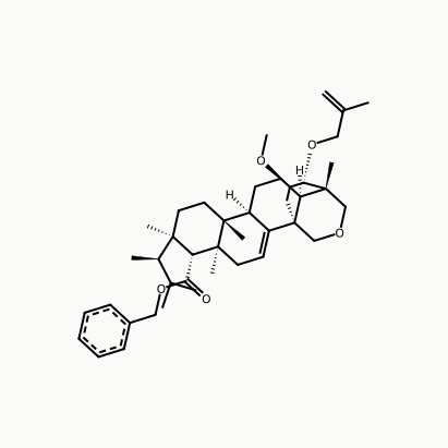 C=C(C)CO[C@H]1[C@H](OC)C[C@@]23COC[C@]1(C)[C@@H]2CC[C@H]1C3=CC[C@@]2(C)[C@H](C(=O)OCc3ccccc3)[C@@](C)([C@H](C)C(C)C)CC[C@]12C